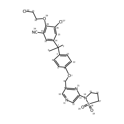 CC(C)(c1ccc(OCc2cncc(N3CCCS3(=O)=O)n2)cc1)c1cc(Cl)c(OCCCl)c(C#N)c1